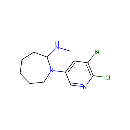 CNC1CCCCCN1c1cnc(Cl)c(Br)c1